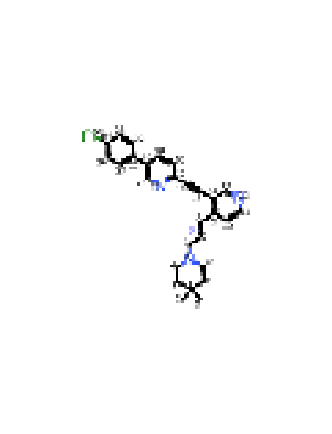 CC1(C)CCN(C/C=C/c2ccncc2C#Cc2ccc(-c3ccc(Cl)cc3)cn2)CC1